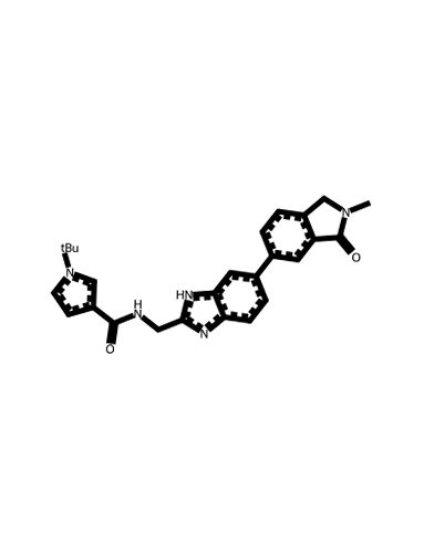 CN1Cc2ccc(-c3ccc4nc(CNC(=O)c5ccn(C(C)(C)C)c5)[nH]c4c3)cc2C1=O